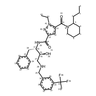 CCCC1CCCCN1C(=O)c1cc(C(=O)N[C@@H](Cc2ccccc2)[C@@H](O)CNCc2cccc(C(F)(F)F)c2)nn1CC